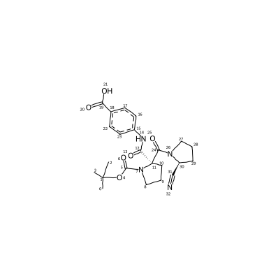 CC(C)(C)OC(=O)N1CCC[C@]1(C(=O)Nc1ccc(C(=O)O)cc1)C(=O)N1CCC[C@H]1C#N